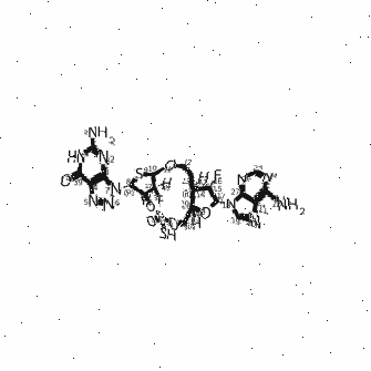 Nc1nc2c(nnn2[C@@H]2SC3OCC[C@H]4[C@H](F)[C@H](n5cnc6c(N)ncnc65)O[C@@H]4COP(=O)(S)O[C@@H]2[C@@H]3F)c(=O)[nH]1